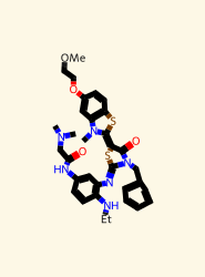 CCNc1ccc(NC(=O)CN(C)C)cc1N=C1SC(=C2Sc3ccc(OCCOC)cc3N2C)C(=O)N1Cc1ccccc1